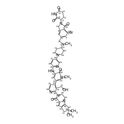 CN(Cc1cc(Br)c2c(c1)CN(C1CCC(=O)NC1=O)C2=O)C1CCN(c2ccc(Nc3cc(-c4ccnc(N5CCn6c(cc7c6CC(C)(C)C7)C5=O)c4CO)cn(C)c3=O)nc2)CC1